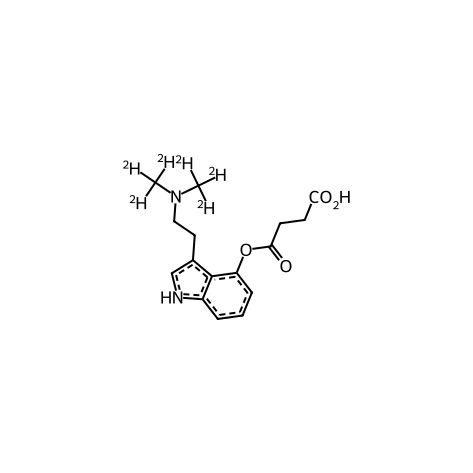 [2H]C([2H])([2H])N(CCc1c[nH]c2cccc(OC(=O)CCC(=O)O)c12)C([2H])([2H])[2H]